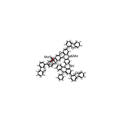 CSN1c2cc3c(cc2B2c4cc5c(cc4Oc4cc(-c6cccc7c6oc6ccccc67)cc1c42)N(SC)c1cc(-c2cccc4c2oc2ccccc24)cc2c1B5c1ccccc1O2)B1c2ccccc2N(c2ccccc2)c2cc(-c4cccc5c4oc4ccccc45)cc(c21)N3